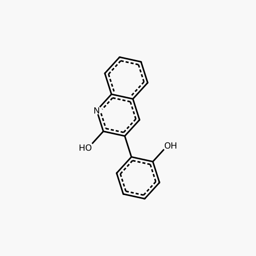 Oc1ccccc1-c1cc2ccccc2nc1O